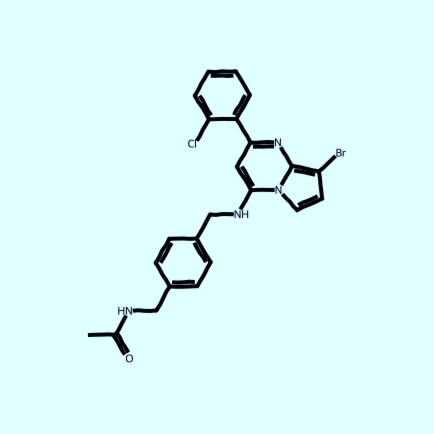 CC(=O)NCc1ccc(CNc2cc(-c3ccccc3Cl)nc3c(Br)ccn23)cc1